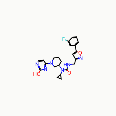 O=C(NCc1cc(-c2cccc(F)c2)on1)N(C1CC1)[C@@H]1CCCN(c2ccnc(O)n2)C1